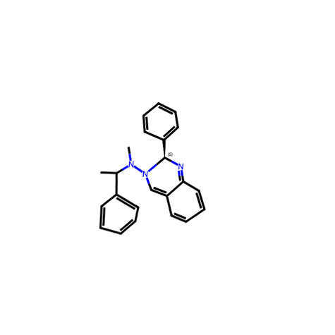 CC(c1ccccc1)N(C)N1C=c2ccccc2=N[C@@H]1c1ccccc1